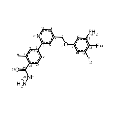 Cc1cc(-c2cc(COc3cc(F)c(F)c(P)c3)ccn2)ccc1C(=O)NN